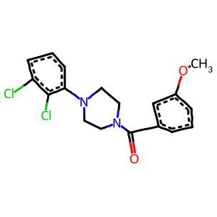 COc1cccc(C(=O)N2CCN(c3cccc(Cl)c3Cl)CC2)c1